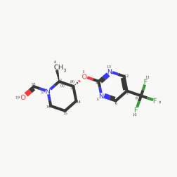 C[C@H]1[C@H](Oc2ncc(C(F)(F)F)cn2)CCCN1C=O